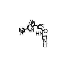 Cn1cc(-c2cnc3c(-c4csc(C(=O)NC5CCNC5)c4)cnn3c2)cn1